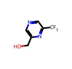 OCc1cncc(C(F)(F)F)n1